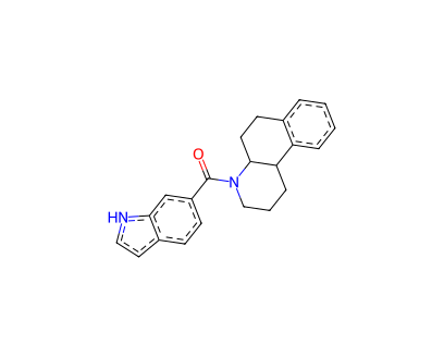 O=C(c1ccc2cc[nH]c2c1)N1CCCC2c3ccccc3CCC21